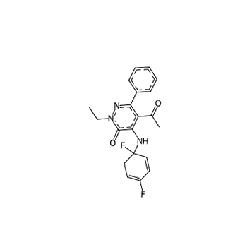 CCn1nc(-c2ccccc2)c(C(C)=O)c(NC2(F)C=CC(F)=CC2)c1=O